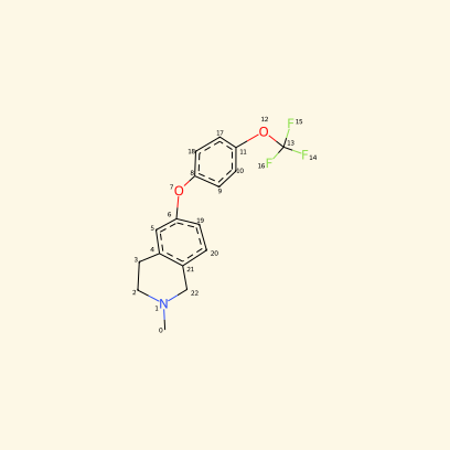 CN1CCc2cc(Oc3ccc(OC(F)(F)F)cc3)ccc2C1